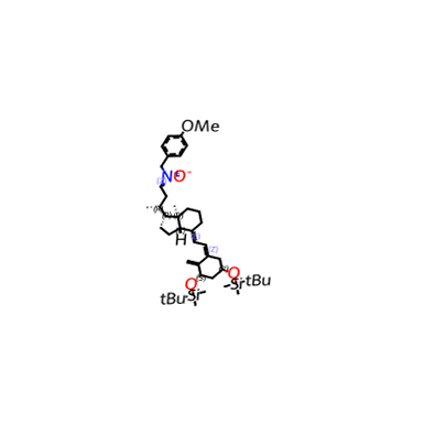 C=C1/C(=C\C=C2/CCC[C@]3(C)[C@@H]([C@H](C)C/C=[N+](\[O-])Cc4ccc(OC)cc4)CC[C@@H]23)C[C@@H](O[Si](C)(C)C(C)(C)C)C[C@@H]1O[Si](C)(C)C(C)(C)C